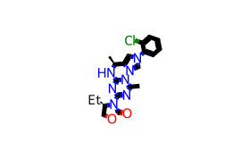 CC[C@H]1COC(=O)N1c1nc(C)nc(N[C@@H](C)c2cn(-c3ccccc3Cl)cn2)n1